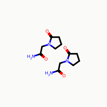 NC(=O)CN1CCCC1=O.NC(=O)CN1CCCC1=O